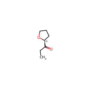 CCC(=O)[C@@H]1CCCO1